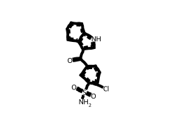 NS(=O)(=O)c1cc(C(=O)c2c[nH]c3ccccc23)ccc1Cl